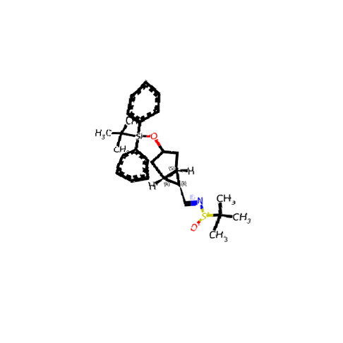 CC(C)(C)[S+]([O-])/N=C/[C@@H]1[C@H]2CC(O[Si](c3ccccc3)(c3ccccc3)C(C)(C)C)C[C@@H]12